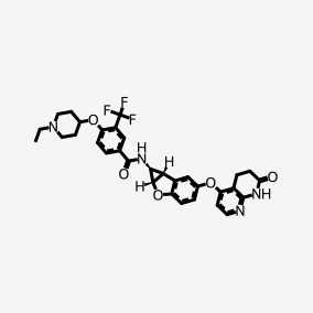 CCN1CCC(Oc2ccc(C(=O)N[C@@H]3[C@H]4Oc5ccc(Oc6ccnc7c6CCC(=O)N7)cc5[C@@H]34)cc2C(F)(F)F)CC1